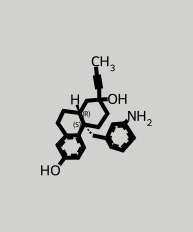 CC#CC1(O)CC[C@@]2(Cc3cccc(N)c3)c3ccc(O)cc3CC[C@@H]2C1